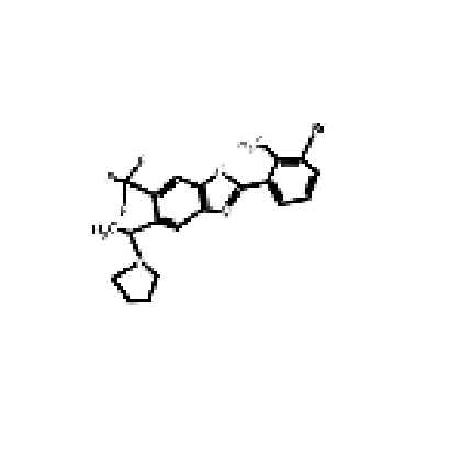 Cc1c(Br)cccc1-c1nc2cc(C(C)N3CCCC3)c(C(F)(F)F)cc2o1